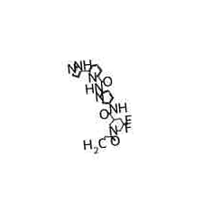 C=CC(=O)N1CC(C(=O)Nc2ccc(NC(=O)c3cccc(-c4ccn[nH]4)n3)nc2)CC(F)(F)C1